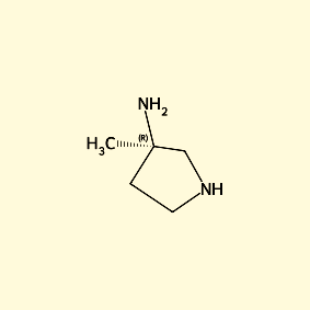 C[C@@]1(N)CCNC1